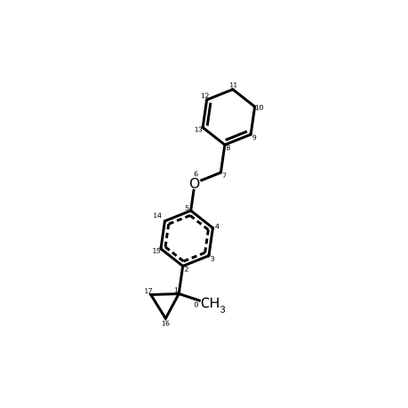 CC1(c2ccc(OCC3=CCCC=C3)cc2)CC1